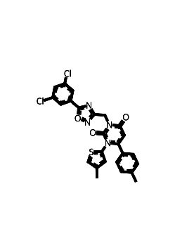 Cc1ccc(-c2cc(=O)n(Cc3noc(-c4cc(Cl)cc(Cl)c4)n3)c(=O)n2-c2cc(C)cs2)cc1